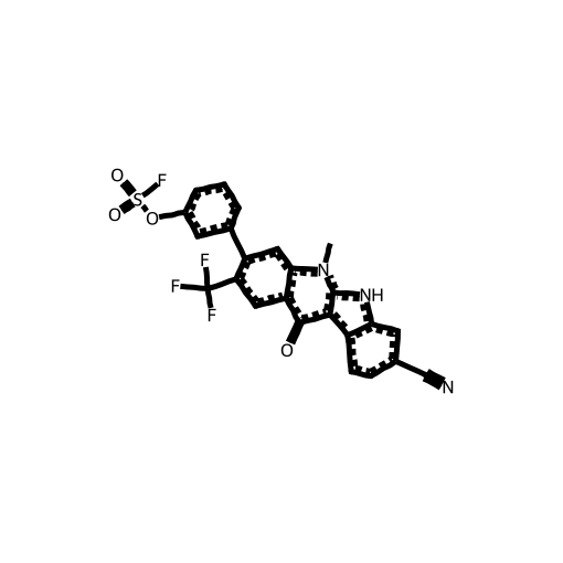 Cn1c2cc(-c3cccc(OS(=O)(=O)F)c3)c(C(F)(F)F)cc2c(=O)c2c3ccc(C#N)cc3[nH]c21